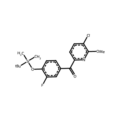 COc1nc(C(=O)c2ccc(O[Si](C)(C)C(C)(C)C)c(F)c2)ccc1Cl